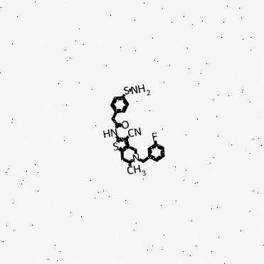 CC1Cc2sc(NC(=O)Cc3ccc(SN)cc3)c(C#N)c2CN1Cc1cccc(F)c1